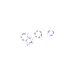 CCn1c(=O)n(-c2ccc(Oc3nccn3C)cc2)c2ncccc21